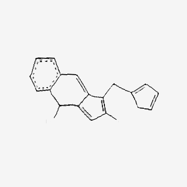 CC1=C(CC2=CC=CC2)C2=Cc3ccccc3C(C)C2=C1